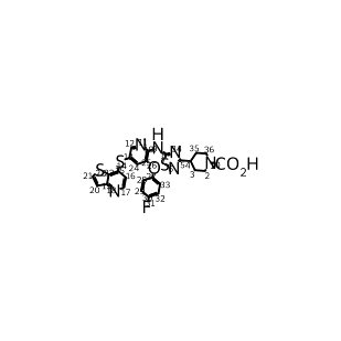 O=C(O)N1CCC(c2nsc(Nc3ncc(Sc4ccnc5ccsc45)cc3Oc3ccc(F)cc3)n2)CC1